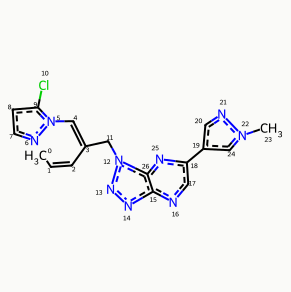 C/C=C\C(=C/n1nccc1Cl)Cn1nnc2ncc(-c3cnn(C)c3)nc21